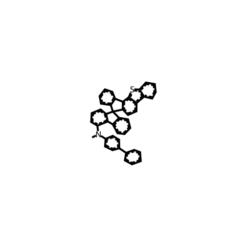 CN(c1ccc(-c2ccccc2)cc1)c1cccc2c1-c1ccccc1C21c2ccccc2-c2c1ccc1c2sc2ccccc21